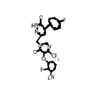 N#Cc1cccc(Oc2c(C(F)(F)F)ncn(Cc3cc(-c4ccc(F)cc4)c(=O)[nH]n3)c2=O)c1F